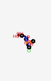 O=C1CN(S(=O)(=O)c2cc3cc(Cl)ccc3n2S(=O)(=O)c2ccccc2)CCN1Cc1ccc(B(O)O)cc1